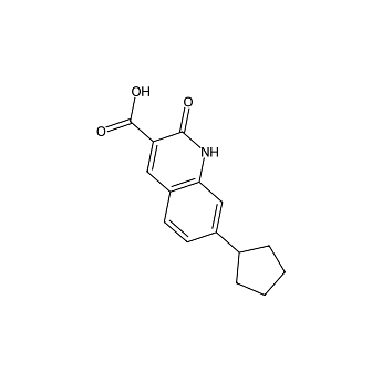 O=C(O)c1cc2ccc(C3CCCC3)cc2[nH]c1=O